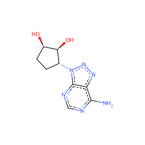 Nc1ncnc2c1nnn2[C@@H]1CC[C@@H](O)[C@H]1O